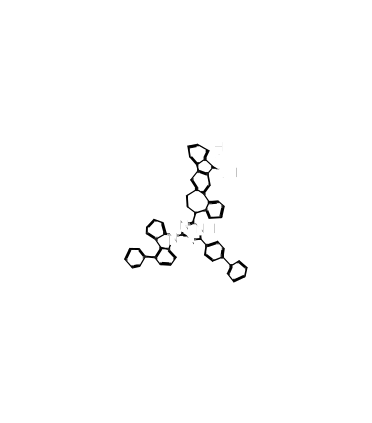 CC1(C)c2ccccc2-c2cc3c(cc21)-c1ccccc1C(C1=NC(n2c4ccccc4c4c(-c5ccccc5)cccc42)=NC(c2ccc(-c4ccccc4)cc2)N1)CC3